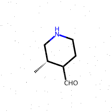 C[C@@H]1CNCCC1C=O